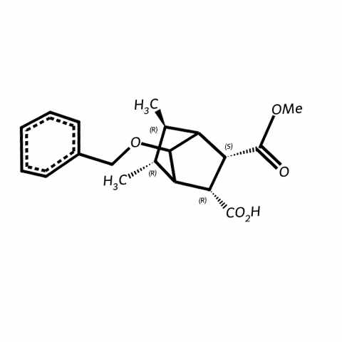 COC(=O)[C@H]1C2C(OCc3ccccc3)C([C@H]1C(=O)O)[C@H](C)[C@H]2C